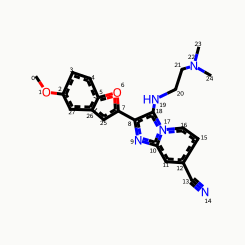 COc1ccc2oc(-c3nc4cc(C#N)ccn4c3NCCN(C)C)cc2c1